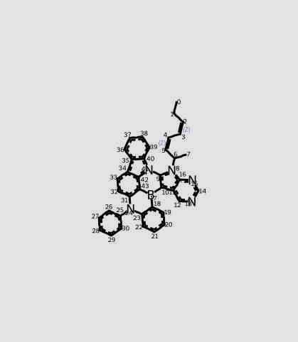 CC/C=C\C=C/C(C)n1c2c(c3cncnc31)B1c3ccccc3N(c3ccccc3)c3ccc4c5ccccc5n-2c4c31